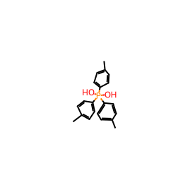 Cc1ccc(P(O)(O)(c2ccc(C)cc2)c2ccc(C)cc2)cc1